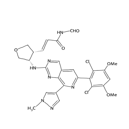 COc1cc(OC)c(Cl)c(-c2cc3cnc(N[C@@H]4COC[C@@H]4C=CC(=O)NC=O)nc3c(-c3cnn(C)c3)n2)c1Cl